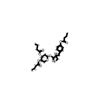 CCCC(=O)Oc1ccc(CC(N)(CF)C(=O)O[C@H]2C[C@@H](OC(=O)CCC)[C@H](OC(=O)CCC)CO2)cc1